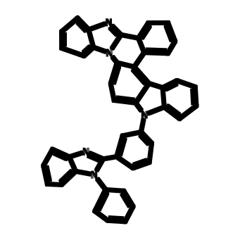 c1ccc(-n2c(-c3cccc(-n4c5ccccc5c5c6c7ccccc7c7nc8ccccc8n7c6ccc54)c3)nc3ccccc32)cc1